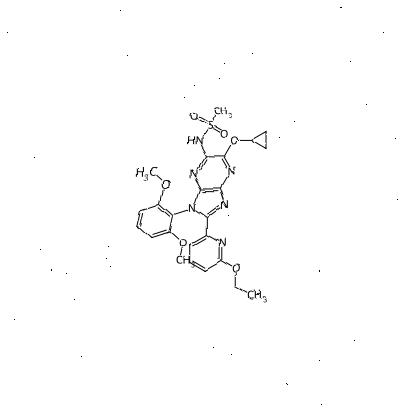 CCOc1cccc(-c2nc3nc(OC4CC4)c(NS(C)(=O)=O)nc3n2-c2c(OC)cccc2OC)n1